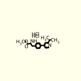 COC(=O)C(N)Cc1ccc(-c2ccnc(C(C)C)c2)cc1.Cl.Cl